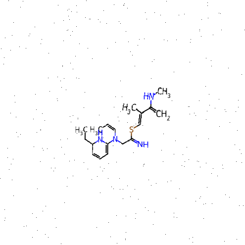 C=C(NC)/C(C)=C/SC(=N)CN(/C=C\C)C1=CC=CC(CC)N1